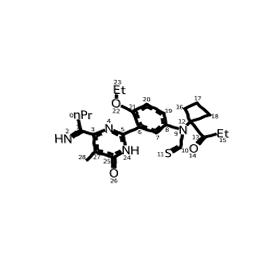 CCCC(=N)c1nc(-c2cc(N(C=S)C3(C(=O)CC)CCC3)ccc2OCC)[nH]c(=O)c1C